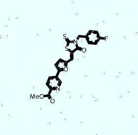 COC(=O)c1ccc(-c2ccc(/C=C3\SC(=S)N(Cc4ccc(F)cc4)C3=O)o2)cn1